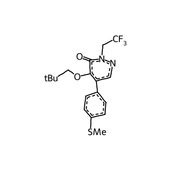 CSc1ccc(-c2cnn(CC(F)(F)F)c(=O)c2OCC(C)(C)C)cc1